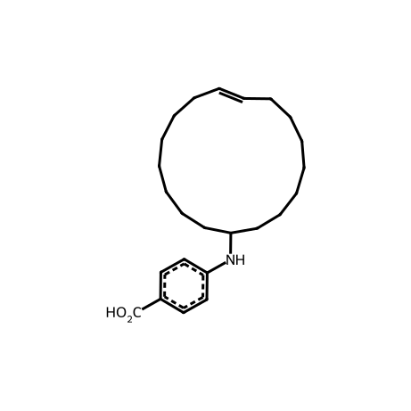 O=C(O)c1ccc(NC2CCCCCCC/C=C/CCCCCCC2)cc1